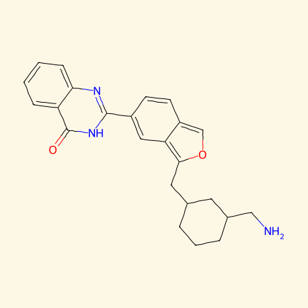 NCC1CCCC(Cc2occ3ccc(-c4nc5ccccc5c(=O)[nH]4)cc23)C1